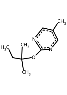 CCC(C)(C)Oc1ncc(C)cn1